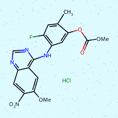 COC(=O)Oc1cc(Nc2ncnc3cc([N+](=O)[O-])c(OC)cc23)c(F)cc1C.Cl